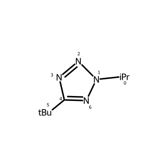 CC(C)n1nnc(C(C)(C)C)n1